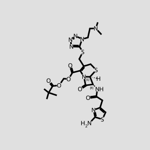 CN(C)CCn1nnnc1SCC1=C(C(=O)OCOC(=O)C(C)(C)C)N2C(=O)[C@@H](NC(=O)Cc3csc(N)n3)[C@@H]2SC1